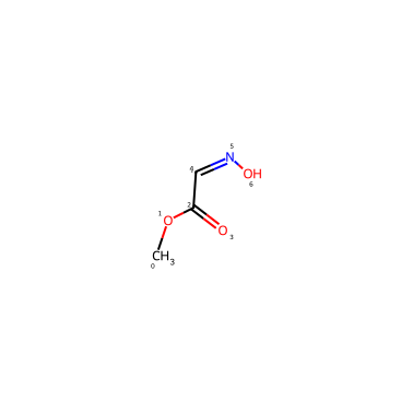 COC(=O)/[C]=N\O